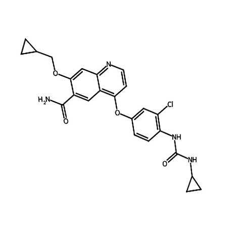 NC(=O)c1cc2c(Oc3ccc(NC(=O)NC4CC4)c(Cl)c3)ccnc2cc1OCC1CC1